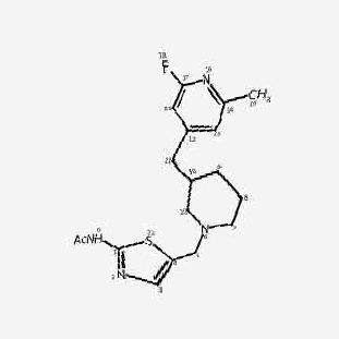 CC(=O)Nc1ncc(CN2CCCC(Cc3cc(C)nc(F)c3)C2)s1